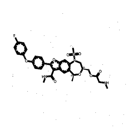 CNCC(=O)OC[C@@H]1CN(S(C)(=O)=O)c2cc3oc(-c4ccc(Oc5ccc(F)cc5)cc4)c(C(=O)NC)c3cc2[C@H](C)O1